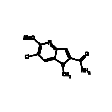 COc1nc2cc(C(N)=O)n(C)c2cc1Cl